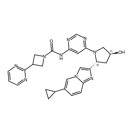 O=C(Nc1cc(N2C[C@@H](O)C[C@@H]2c2cn3cc(C4CC4)ccc3n2)ncn1)N1CC(c2ncccn2)C1